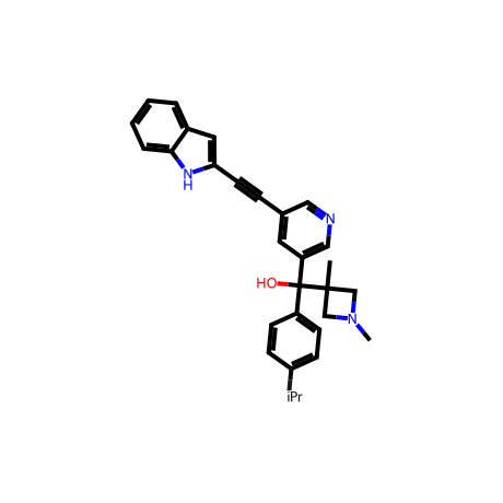 CC(C)c1ccc(C(O)(c2cncc(C#Cc3cc4ccccc4[nH]3)c2)C2(C)CN(C)C2)cc1